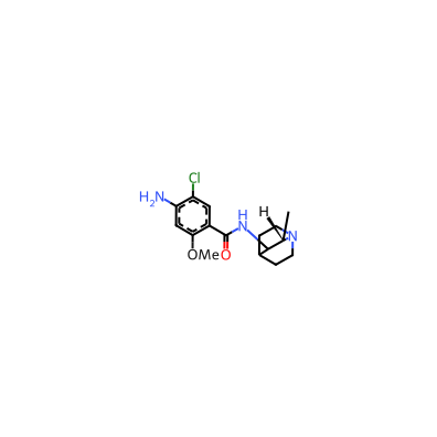 COc1cc(N)c(Cl)cc1C(=O)NC1C2CCN(CC2)[C@H]1C